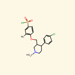 N#Cc1cc(S(=O)(=O)Cl)ccc1OCC1CN(C(=O)O)CCC1c1ccc(Cl)cc1